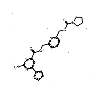 Nc1nc(C(=O)NCc2cccc(COC(=O)N3CCCC3)n2)cc(-c2ccco2)n1